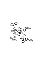 Cc1ccc(C(NCCCC[C@H](NC(=O)[C@H](CCCNC(N)=O)NC(=O)OCC2c3ccccc3-c3ccccc32)C(=O)N[C@@H](Cc2ccc(OC(C)(C)C)cc2)C(=O)OC(C)(C)C)(c2ccccc2)c2ccccc2)cc1